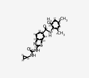 Cc1cc(C)c(NC(=O)c2ccc3nc(NC(=O)NC4CC4)sc3c2)c(C)c1